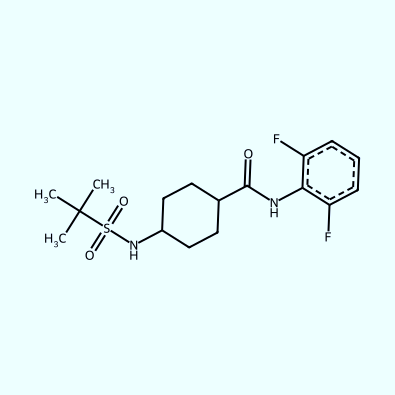 CC(C)(C)S(=O)(=O)NC1CCC(C(=O)Nc2c(F)cccc2F)CC1